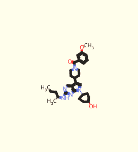 CCC[C@H](C)Nc1ncc2c(C3CCN(C(=O)c4cccc(OC)c4)CC3)cn([C@H]3CC[C@H](O)CC3)c2n1